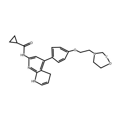 O=C(Nc1cc(-c2ccc(OCCN3CCOCC3)cc2)c2c(n1)NC=CC2)C1CC1